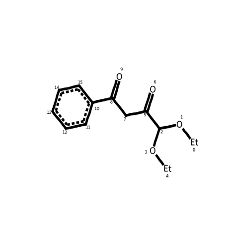 CCOC(OCC)C(=O)CC(=O)c1ccccc1